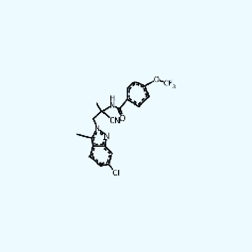 Cc1c2ccc(Cl)cc2nn1CC(C)(C#N)NC(=O)c1ccc(OC(F)(F)F)cc1